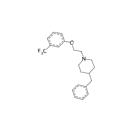 FC(F)(F)c1cccc(OCCN2CCC(Cc3ccccc3)CC2)c1